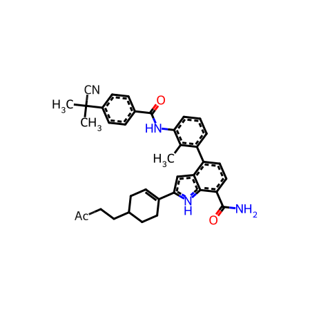 CC(=O)CCC1CC=C(c2cc3c(-c4cccc(NC(=O)c5ccc(C(C)(C)C#N)cc5)c4C)ccc(C(N)=O)c3[nH]2)CC1